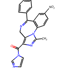 Cc1nc(C(=O)n2ccnc2)c2n1-c1ccc([N+](=O)[O-])cc1C(c1ccccc1)=NC2